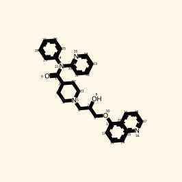 O=C(C1CCN(CC(O)COc2cccc3ncccc23)CC1)N(c1ccccc1)c1ccccn1